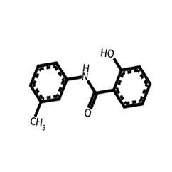 Cc1cccc(NC(=O)c2ccccc2O)c1